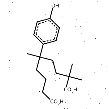 CC(C)(CCC(C)(CCCC(=O)O)c1ccc(O)cc1)C(=O)O